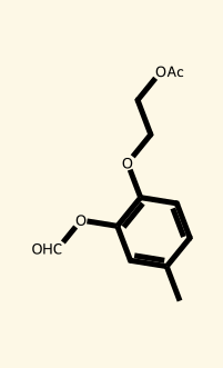 CC(=O)OCCOc1ccc(C)cc1OC=O